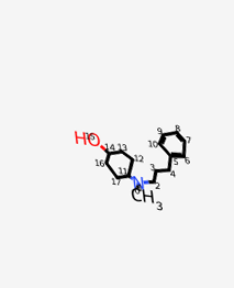 CN(CCCc1ccccc1)C1CCC(O)CC1